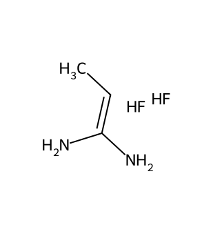 CC=C(N)N.F.F